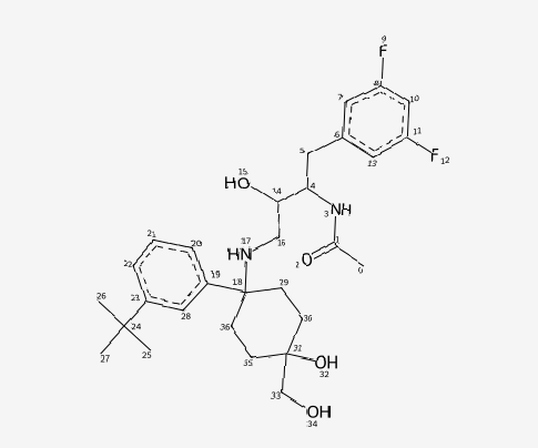 CC(=O)NC(Cc1cc(F)cc(F)c1)C(O)CNC1(c2cccc(C(C)(C)C)c2)CCC(O)(CO)CC1